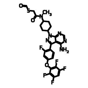 CN(C(=O)CSC=O)C1CCC(n2nc(-c3ccc(Oc4c(F)c(F)cc(F)c4F)cc3F)c3c(N)ncnc32)CC1